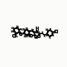 O=C(CCc1ccc(Cl)cc1)NC(=Cc1ccc(Oc2ccccc2Cl)cc1)C(=O)O